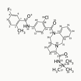 Cc1ccc(F)cc1C(=O)Nc1ccc(C(=O)N2Cc3ccc(C(=O)N[N+](C)(C)C)n3Cc3ccccc32)c(Cl)c1